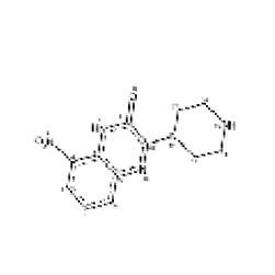 O=c1[nH]c2c([N+](=O)[O-])cccc2nc1N1CCNCC1